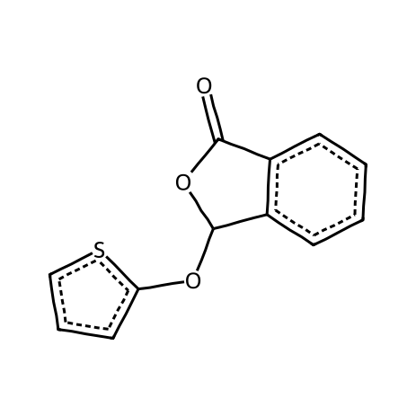 O=C1OC(Oc2cccs2)c2ccccc21